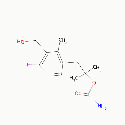 Cc1c(CC(C)(C)OC(N)=O)ccc(I)c1CO